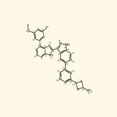 COc1cc(F)cc(-c2cncc3[nH]c(-c4n[nH]c5cnc(-c6cncc(N7CC(N)C7)n6)cc45)nc23)c1